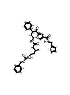 CC(CCNC(=O)OCc1ccccc1)CC(=O)NCCC(C(=O)c1nc(C(=O)NCc2ccco2)co1)c1ccccc1